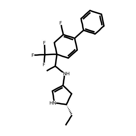 CC[C@H]1CC(NC(C)C2(C(F)(F)F)C=CC(c3ccccc3)=C(F)C2)=CN1